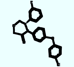 O=C1COC[C@H](c2cccc(F)c2)N1c1ccc(Oc2ccc(Cl)cc2)cc1